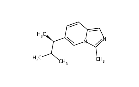 Cc1ncc2ccc([C@H](C)C(C)C)cn12